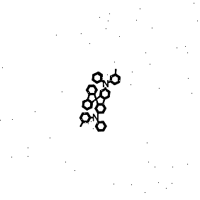 Cc1cccc(N(c2c#cccc2)c2ccc3c(c2)C2(c4ccccc4-c4ccccc42)c2cc(N(c4ccccc4)c4cccc(C)c4)ccc2-3)c1